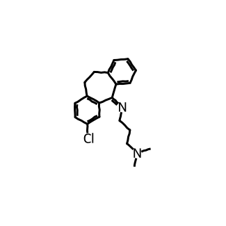 CN(C)CCCN=C1c2ccccc2CCc2ccc(Cl)cc21